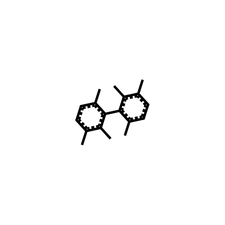 Cc1ccc(C)c(-c2c(C)ccc(C)c2C)c1C